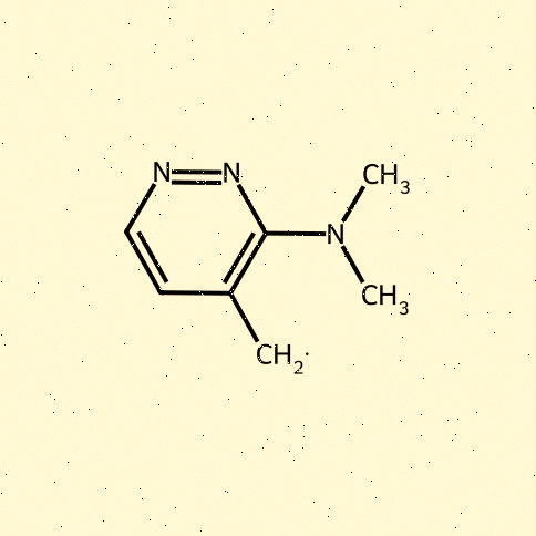 [CH2]c1ccnnc1N(C)C